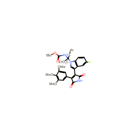 CCOC(=O)C(CC(C)C)(NC(=O)OC(C)(C)C)n1cc(C2=C(c3cc(OC)c(OC)c(OC)c3)C(=O)NC2=O)c2cc(F)ccc21